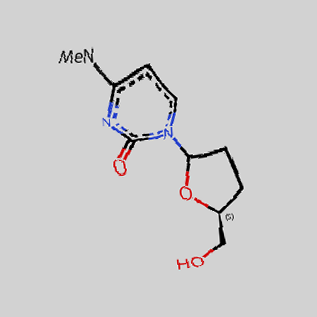 CNc1ccn(C2CC[C@@H](CO)O2)c(=O)n1